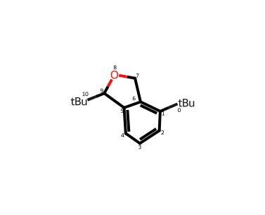 CC(C)(C)c1cccc2c1COC2C(C)(C)C